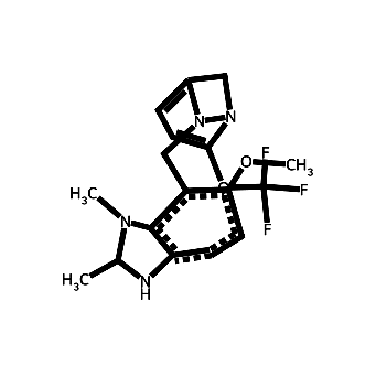 COc1ccc2c(c1CN1C3=CC=C(OC(F)(F)F)N1C3)N(C)C(C)N2